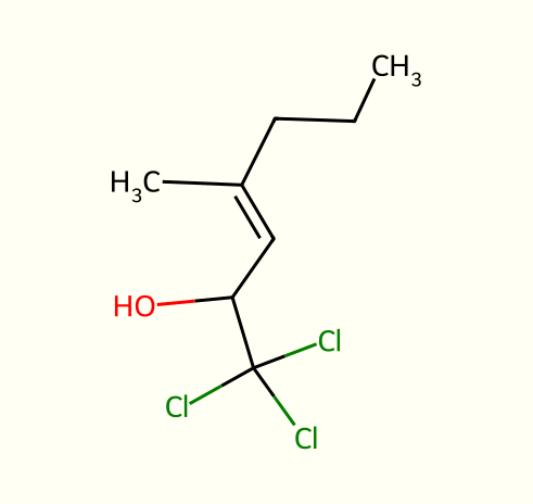 CCCC(C)=CC(O)C(Cl)(Cl)Cl